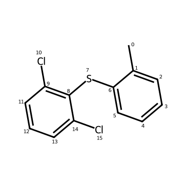 Cc1ccccc1Sc1c(Cl)cccc1Cl